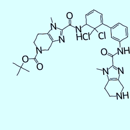 Cn1c(C(=O)Nc2cccc(C3=CC=CC(NC(=O)c4nc5c(n4C)CCN(C(=O)OC(C)(C)C)C5)C3(Cl)Cl)c2)nc2c1CCNC2